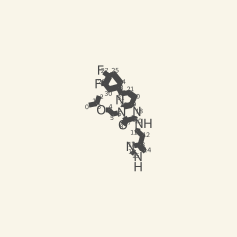 CC(C)OCCn1c(=O)c(NCCc2c[nH]cn2)nc2ccc(-c3ccc(F)c(F)c3)nc21